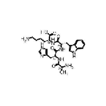 C[C@H](N)C(=O)N[C@@H](Cc1c[nH]cn1)C(=O)N[C@@H](Cc1c[nH]c2ccccc12)C(=O)N[C@@H](CCCCN)C(=O)O